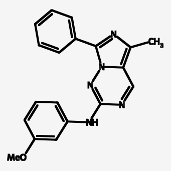 COc1cccc(Nc2ncc3c(C)nc(-c4ccccc4)n3n2)c1